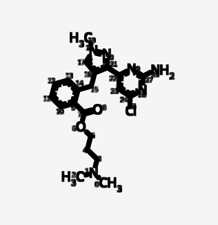 CN(C)CCCOC(=O)c1ccccc1Cc1cn(C)nc1-c1cc(Cl)nc(N)n1